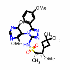 COc1cccc(-c2nnc(NS(=O)(=O)[C@@H](C)[C@@H](OC)C3CC(C)(C)C3)n2-c2c(OC)ncnc2OC)c1